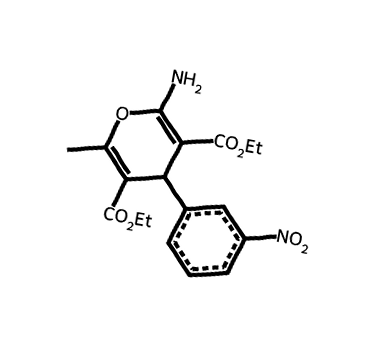 CCOC(=O)C1=C(C)OC(N)=C(C(=O)OCC)C1c1cccc([N+](=O)[O-])c1